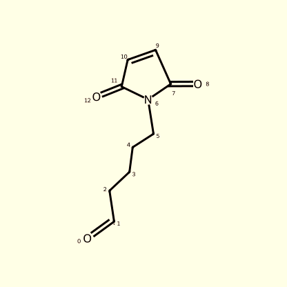 O=[C]CCCCN1C(=O)C=CC1=O